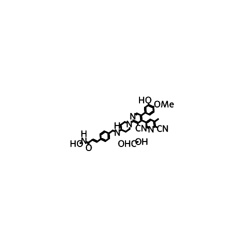 COc1ccc(-c2cnc(N3CCC(NCc4ccc(/C=C/C(=O)NO)cc4)CC3)c(C#N)c2-c2cnc(C#N)c(C)c2)cc1O.O=CO